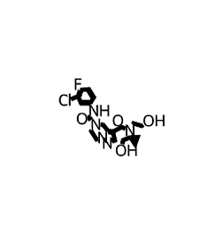 O=C(Nc1ccc(F)c(Cl)c1)N1CCn2ncc(C(=O)N(CCO)C3(CO)CC3)c2C1